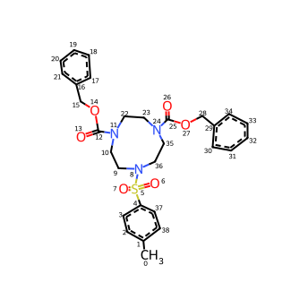 Cc1ccc(S(=O)(=O)N2CCN(C(=O)OCc3ccccc3)CCN(C(=O)OCc3ccccc3)CC2)cc1